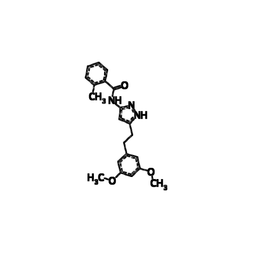 COc1cc(CCc2cc(NC(=O)c3ccccc3C)n[nH]2)cc(OC)c1